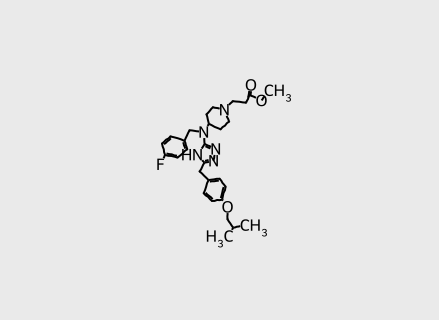 COC(=O)CCN1CCC(N(Cc2ccc(F)cc2)c2nnc(Cc3ccc(OCC(C)C)cc3)[nH]2)CC1